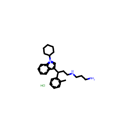 Cc1ccccc1C(CCNCCCN)c1cn(C2CCCCC2)c2ccccc12.Cl